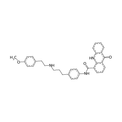 COc1ccc(CCNCCCc2ccc(NC(=O)c3cccc4c(=O)c5ccccc5[nH]c34)cc2)cc1